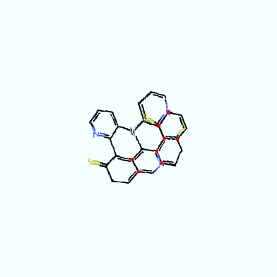 S=C1CC=CC=C1c1nccc[c]1[Ir]([c]1cccnc1C1=CC=CCC1=S)[c]1cccnc1C1=CC=CCC1=S